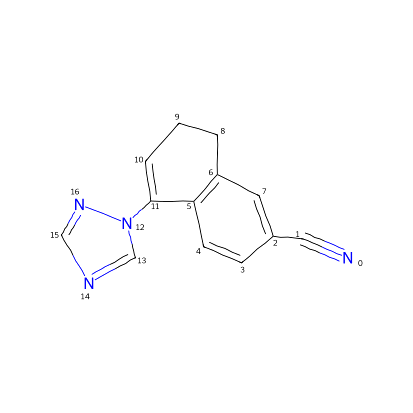 N#Cc1ccc2c(c1)CCC=C2n1cncn1